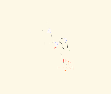 CCN(CC)CCCC(C)N(C(=O)SCCCCCC(P(=O)(O)O)P(=O)(O)O)c1ccnc2cc(Cl)ccc12